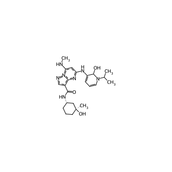 CNc1cc(NC2=CC=CN(C(C)C)C2O)nc2c(C(=O)N[C@H]3CCC[C@](C)(O)C3)cnn12